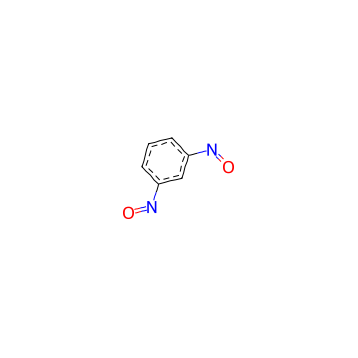 O=Nc1cccc(N=O)c1